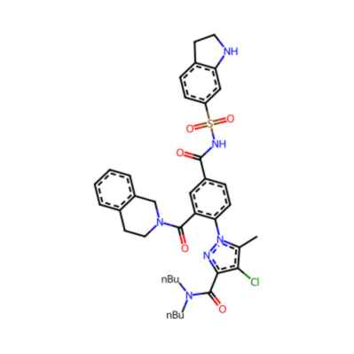 CCCCN(CCCC)C(=O)c1nn(-c2ccc(C(=O)NS(=O)(=O)c3ccc4c(c3)NCC4)cc2C(=O)N2CCc3ccccc3C2)c(C)c1Cl